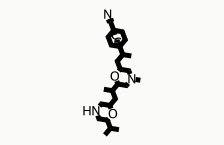 CC(C)C1CNCC(CC(C)C2CN(C)CC(CC(C)C34CCC(C#N)(CC3)CC4)O2)O1